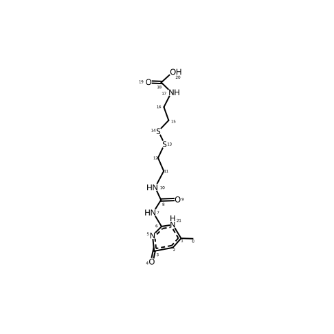 Cc1cc(=O)nc(NC(=O)NCCSSCCNC(=O)O)[nH]1